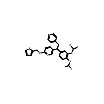 FC(F)Oc1ccc(C(Cc2ccncc2)c2ccc(OCc3cccs3)nc2)cc1OC(F)F